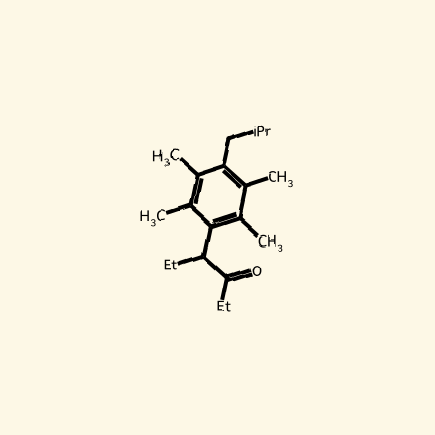 CCC(=O)C(CC)c1c(C)c(C)c(CC(C)C)c(C)c1C